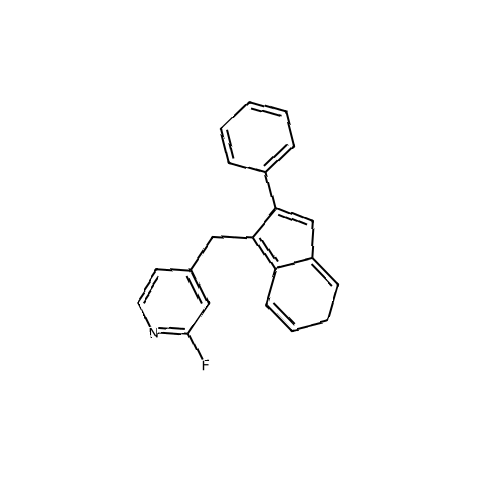 Fc1cc(CC2=C3C=CCC=C3C=C2c2ccccc2)ccn1